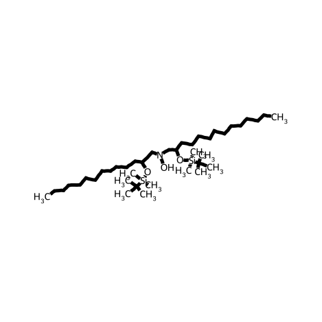 CCCCCCCCCCCCC(CN(O)CC(CCCCCCCCCCCC)O[Si](C)(C)C(C)(C)C)O[Si](C)(C)C(C)(C)C